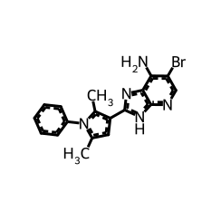 Cc1cc(-c2nc3c(N)c(Br)cnc3[nH]2)c(C)n1-c1ccccc1